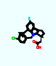 O=C(O)C[C@H]1CCc2c1n(Cc1ccc(Cl)cc1)c1c(C3CC3)cc(F)cc21